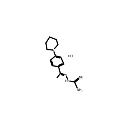 CC(=NNC(=N)N)c1ccc(N2CCCCC2)cc1.Cl